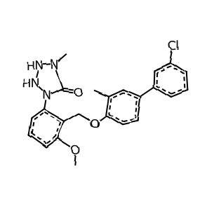 COc1cccc(N2NNN(C)C2=O)c1COc1ccc(-c2cccc(Cl)c2)cc1C